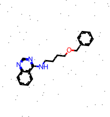 c1ccc(COCCCCNc2ncnc3ccccc23)cc1